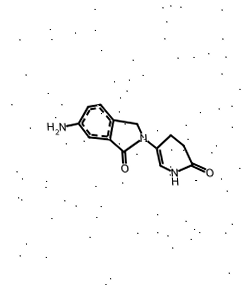 Nc1ccc2c(c1)C(=O)N(C1=CNC(=O)CC1)C2